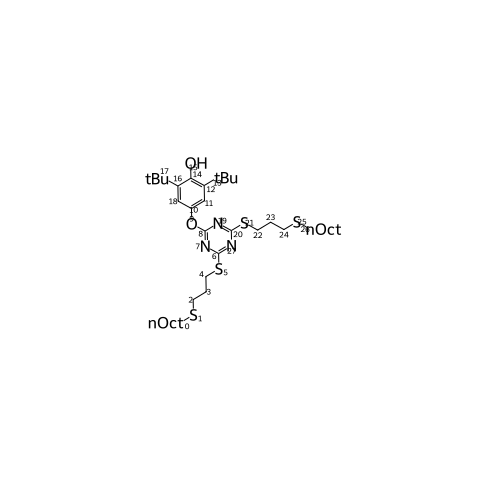 CCCCCCCCSCCCSc1nc(Oc2cc(C(C)(C)C)c(O)c(C(C)(C)C)c2)nc(SCCCSCCCCCCCC)n1